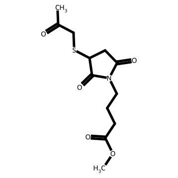 COC(=O)CCCN1C(=O)CC(SCC(C)=O)C1=O